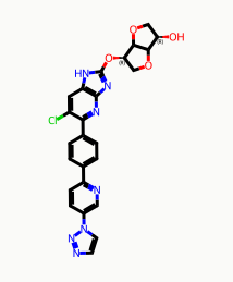 O[C@@H]1COC2C1OC[C@H]2Oc1nc2nc(-c3ccc(-c4ccc(-n5ccnn5)cn4)cc3)c(Cl)cc2[nH]1